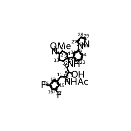 CON=C1CCC(NCC(O)C(Cc2cc(F)cc(F)c2)NC(C)=O)(c2cccc(-n3cccn3)c2)CC1